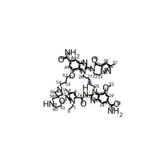 CCn1nc(C)cc1C(=O)Nc1nc2cc(C(N)=O)cc(OC)c2n1C/C=C/Cn1c(N2CCn3nc(C)cc3C2=O)nc2cc(C(N)=O)cc(OCCCN3CC4(CNCCO4)C3)c21